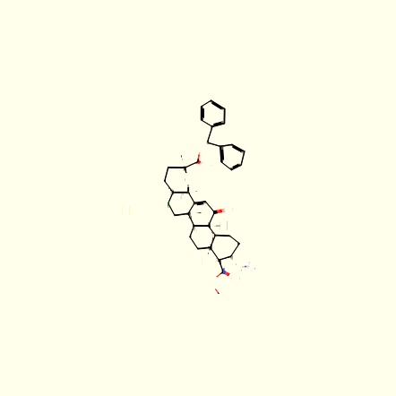 COC(=O)[C@]1(C)[C@@H](NN)CC[C@@]2(C)[C@H]1CC[C@]1(C)[C@@H]2C(=O)C=C2[C@@H]3C[C@@](C)(C(=O)OC(c4ccccc4)c4ccccc4)CC[C@]3(C)CC[C@]21C.Cl.Cl